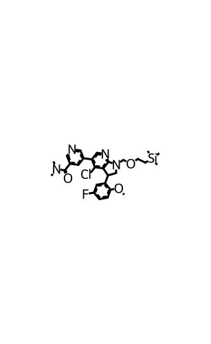 COc1ccc(F)cc1C1CN(COCC[Si](C)(C)C)c2ncc(-c3cncc(C(=O)N(C)C)c3)c(Cl)c21